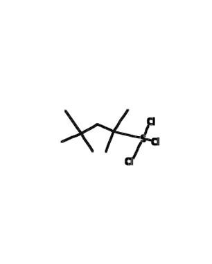 CC(C)(C)CC(C)(C)S(Cl)(Cl)Cl